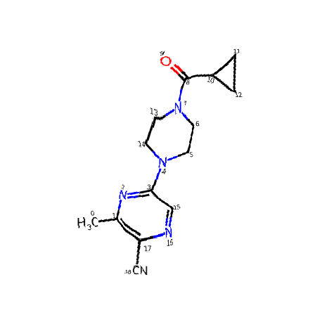 Cc1nc(N2CCN(C(=O)C3CC3)CC2)cnc1C#N